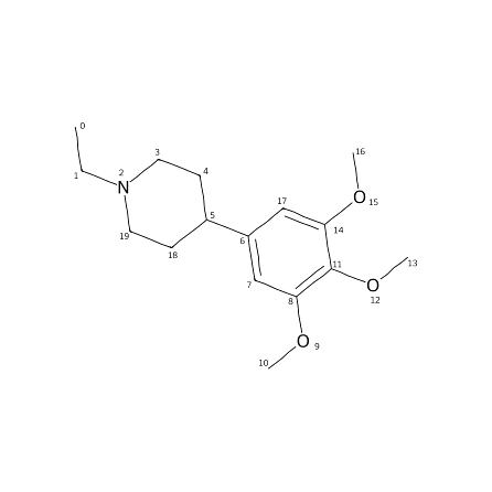 CCN1CCC(c2cc(OC)c(OC)c(OC)c2)CC1